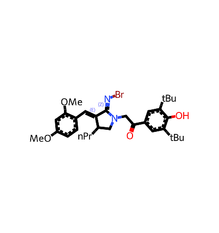 CCCC1CN(CC(=O)c2cc(C(C)(C)C)c(O)c(C(C)(C)C)c2)C(=N\Br)/C1=C/c1ccc(OC)cc1OC